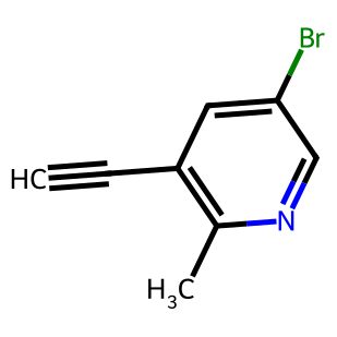 C#Cc1cc(Br)cnc1C